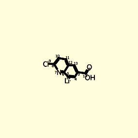 O=C(O)c1ccc2nc(Cl)ccc2c1.[Li]